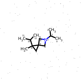 CC(C)N1CC2(C1)CC2(C)C(C)C